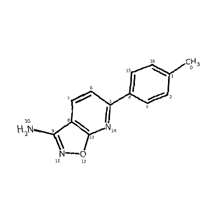 Cc1ccc(-c2ccc3c(N)noc3n2)cc1